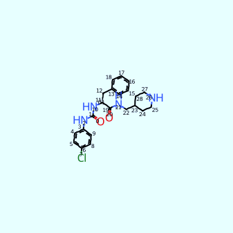 O=C(Nc1ccc(Cl)cc1)N[C@@H](Cc1ccccc1)C(=O)NCC1CCNCC1